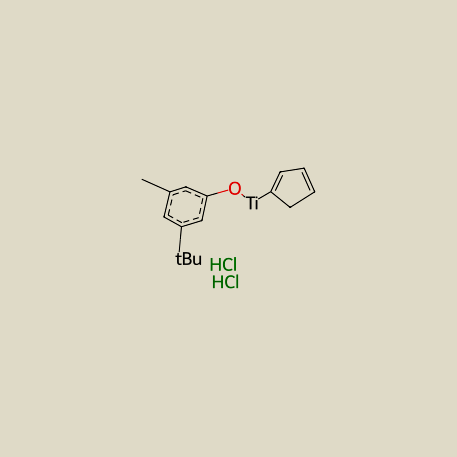 Cc1cc([O][Ti][C]2=CC=CC2)cc(C(C)(C)C)c1.Cl.Cl